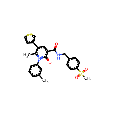 Cc1c(-c2ccsc2)cc(C(=O)NCc2ccc(S(C)(=O)=O)cc2)c(=O)n1-c1cccc(C(F)(F)F)c1